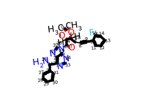 CC1(C)O[C@@H]2[C@H](O1)[C@@H](C#Cc1ccccc1F)O[C@H]2n1cnc2c(C(N)c3ccccc3)ncnc21